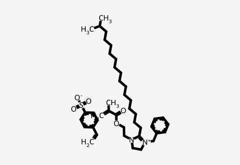 C=C(C)C(=O)OCCN1CC[N+](Cc2ccccc2)=C1CCCCCCCCCCCCCCCC(C)C.C=Cc1ccc(S(=O)(=O)[O-])cc1